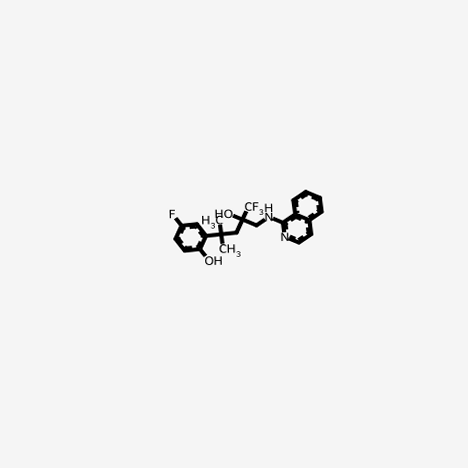 CC(C)(CC(O)(CNc1nccc2ccccc12)C(F)(F)F)c1cc(F)ccc1O